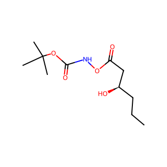 CCC[C@@H](O)CC(=O)ONC(=O)OC(C)(C)C